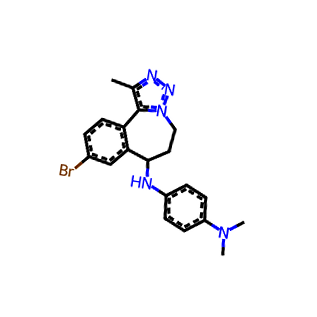 Cc1nnn2c1-c1ccc(Br)cc1C(Nc1ccc(N(C)C)cc1)CC2